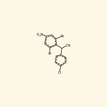 N#CC(c1ccc(Cl)cc1)c1c(Br)cc([N+](=O)[O-])cc1Br